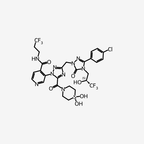 O=C(NCCC(F)(F)F)c1ccncc1-n1nc(Cn2nc(-c3ccc(Cl)cc3)n(C[C@H](O)C(F)(F)F)c2=O)nc1C(=O)N1CCS(O)(O)CC1